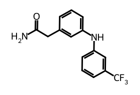 NC(=O)Cc1cccc(Nc2cccc(C(F)(F)F)c2)c1